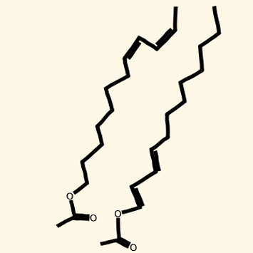 C/C=C\C=C/CCCCCCCOC(C)=O.CCCCCCCCC=CC=COC(C)=O